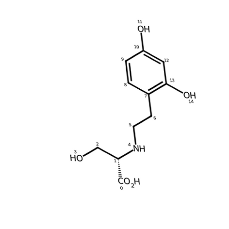 O=C(O)[C@H](CO)NCCc1ccc(O)cc1O